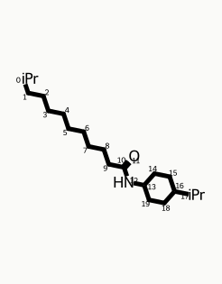 CC(C)CCCCCCCCCC(=O)NC1CCC(C(C)C)CC1